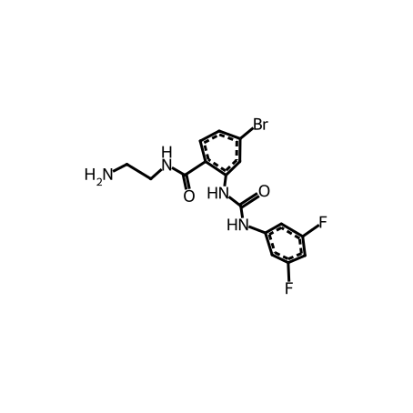 NCCNC(=O)c1ccc(Br)cc1NC(=O)Nc1cc(F)cc(F)c1